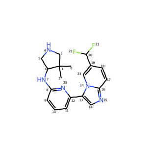 CC1(C)CNCC1Nc1cccc(-c2cnc3ccc(C(F)F)cn23)n1